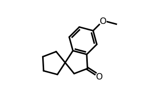 COc1ccc2c(c1)C(=O)CC21CCCC1